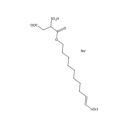 CCCCCCCCC=CCCCCCCCCOC(=O)C(CC(=O)[O-])S(=O)(=O)O.[Na+]